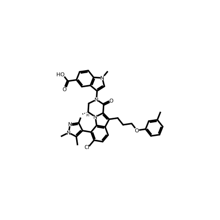 Cc1cccc(OCCCc2c3n(c4c(-c5c(C)nn(C)c5C)c(Cl)ccc24)[C@H](C)CN(c2cn(C)c4ccc(C(=O)O)cc24)C3=O)c1